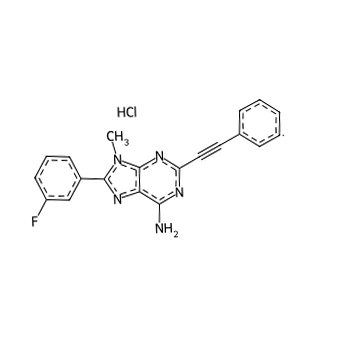 Cl.Cn1c(-c2cccc(F)c2)nc2c(N)nc(C#Cc3c[c]ccc3)nc21